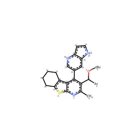 CC(=O)C(OC(C)(C)C)c1c(C)nc2sc3c(c2c1-c1cnc2cc[nH]c2c1)CCCC3